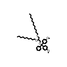 CCCCCCCCCCCCSCC(COC(c1ccccc1)(c1ccc(OC)cc1)c1ccc(OC)cc1)OCCCCCCCCCC